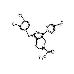 CC(=O)N1CCc2c(c(-c3ccc(F)cc3)nn2Cc2ccc(Cl)c(Cl)c2)C1